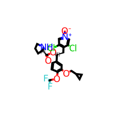 O=C(O[C@@H](Cc1c(Cl)c[n+]([O-])cc1Cl)c1ccc(OC(F)F)c(OCC2CC2)c1)[C@H]1CCCN1